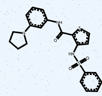 O=C(Nc1cccc(N2CCCC2)c1)c1sccc1NS(=O)(=O)c1ccccc1